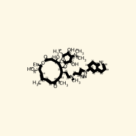 CC[C@H]1OC(=O)C[C@@H](O)[C@H](C)[C@@H](O[C@@H]2O[C@H](C)C(O)C(N(C)C)C2O)[C@@H](CCN(C)Cc2cn(-c3ccc4ncccc4c3)nn2)C[C@@H](C)C(=O)/C=C/C(C)=C/[C@@H]1CO